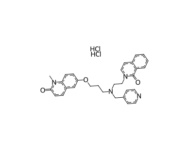 Cl.Cl.Cn1c(=O)ccc2cc(OCCCN(CCn3ccc4ccccc4c3=O)Cc3ccncc3)ccc21